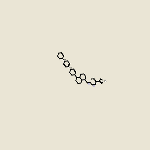 N=C(/C=C\C=C\C1CCCC2C(C3C=C[C@@H](C4=CC[C@H](C5C=CCCC5)C=C4)CC3)CCCC12)C1=CNC1